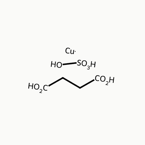 O=C(O)CCC(=O)O.O=S(=O)(O)O.[Cu]